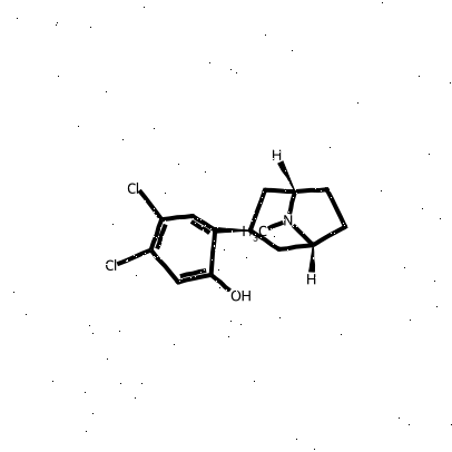 CN1[C@@H]2CC[C@H]1C[C@H](c1cc(Cl)c(Cl)cc1O)C2